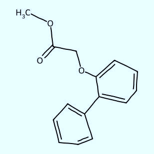 COC(=O)COc1ccccc1-c1ccccc1